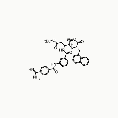 COC(=O)[C@H](Cc1cccc2ccccc12)NC(=O)[C@H](CC(=O)OC(C)(C)C)NC(=O)c1cccc(NC(=O)c2ccc(C(=N)N)cc2)c1